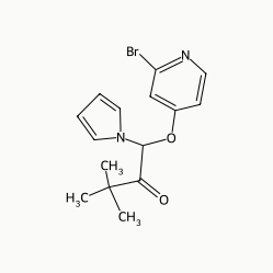 CC(C)(C)C(=O)C(Oc1ccnc(Br)c1)n1cccc1